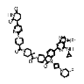 CC(C)n1cnc2cc(-c3ccc4c(c3)N([C@H]3C[C@@H](N5CCC[C@@H](F)C5)C3)C(=O)C43CCN(C(=O)C4(C)CCN(C(=O)C5CCN(c6ccc(C7CCC(=O)NC7=O)cn6)CC5)CC4)CC3)nc(NC3CC3)c21